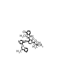 COc1c(Cl)cccc1NC(=S)C1=C(NCc2ccncc2OCC(C)c2ccccn2)CCN(C(=O)OC(C)(C)C)C1=O